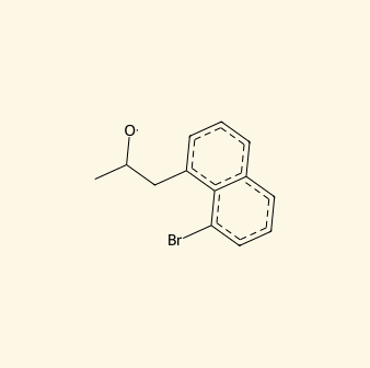 CC([O])Cc1cccc2cccc(Br)c12